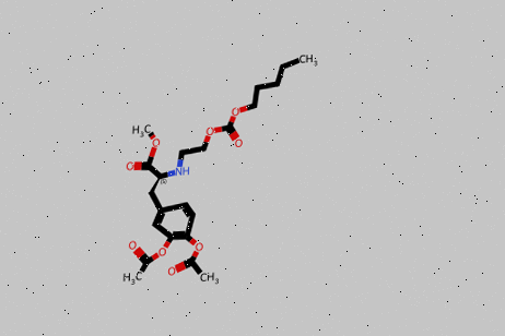 CCCCCOC(=O)OCCN[C@@H](Cc1ccc(OC(C)=O)c(OC(C)=O)c1)C(=O)OC